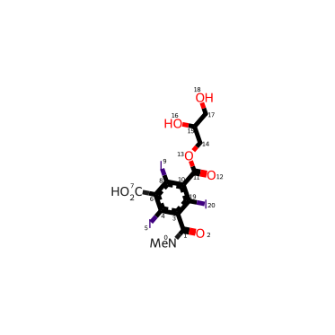 CNC(=O)c1c(I)c(C(=O)O)c(I)c(C(=O)OCC(O)CO)c1I